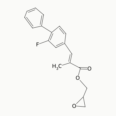 C/C(=C\c1ccc(-c2ccccc2)c(F)c1)C(=O)OCC1CO1